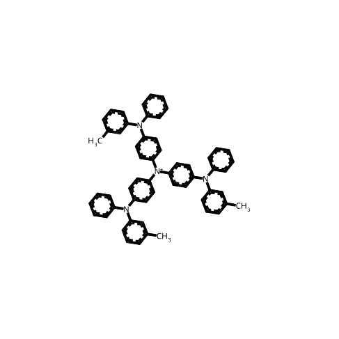 Cc1cccc(N(c2ccccc2)c2ccc([N+](c3ccc(N(c4ccccc4)c4cccc(C)c4)cc3)c3ccc(N(c4ccccc4)c4cccc(C)c4)cc3)cc2)c1